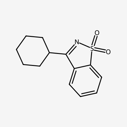 O=S1(=O)N=C(C2CCCCC2)c2ccccc21